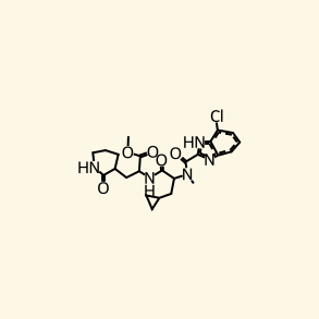 COC(=O)C(CC1CCCNC1=O)NC(=O)C(CC1CC1)N(C)C(=O)c1nc2cccc(Cl)c2[nH]1